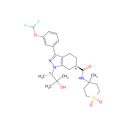 C[C@H](n1nc(-c2cccc(OC(F)F)c2)c2c1C[C@H](C(=O)NC1(C)CCS(=O)(=O)CC1)CC2)C(C)(C)O